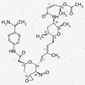 C=C(N)c1ccc(NC(=O)C[C@@H]2C[C@@]3(CO3)[C@H](N=O)[C@@H](/C=C/C(C)=C/C[C@@H]3O[C@H](C)[C@H](NC(=O)/C=C\[C@H](C)OC(C)=O)C[C@@H]3C)O2)cc1